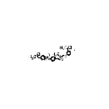 CC(C)c1cccc(OCc2ncc(-c3ccc(NC(=O)c4ccc(CN(C)C)cc4)cc3)n2C)c1